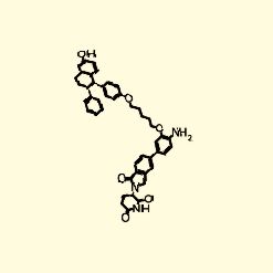 Nc1ccc(-c2ccc3c(c2)CN([C@H]2CCC(=O)NC2=O)C3=O)cc1OCCCCCOc1ccc([C@@H]2c3ccc(O)cc3CC[C@@H]2c2ccccc2)cc1